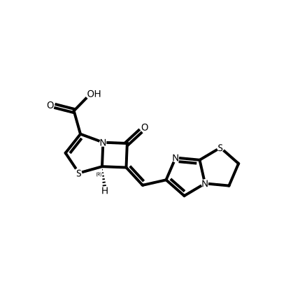 O=C(O)C1=CS[C@@H]2C(=Cc3cn4c(n3)SCC4)C(=O)N12